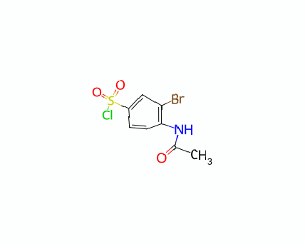 CC(=O)Nc1ccc(S(=O)(=O)Cl)cc1Br